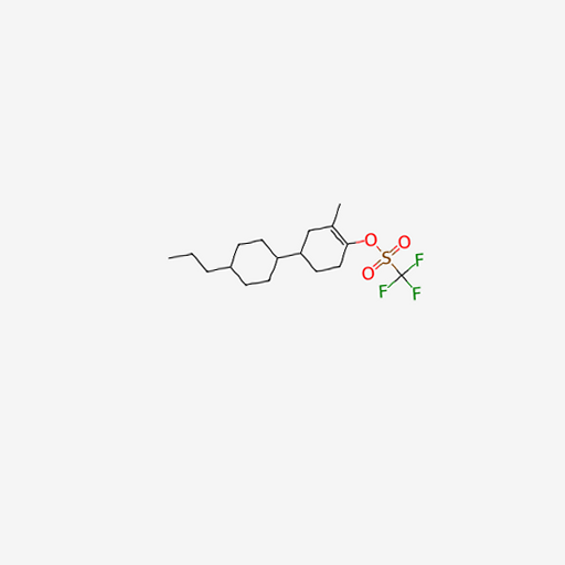 CCCC1CCC(C2CCC(OS(=O)(=O)C(F)(F)F)=C(C)C2)CC1